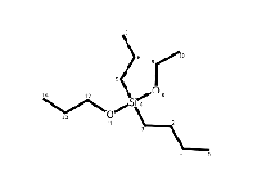 CCCC[Si](CCC)(OCC)OCCC